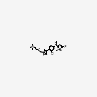 Cn1nc(Br)nc1Nc1ccc(-c2cnn(COCC[Si](C)(C)C)c2)c(Cl)c1